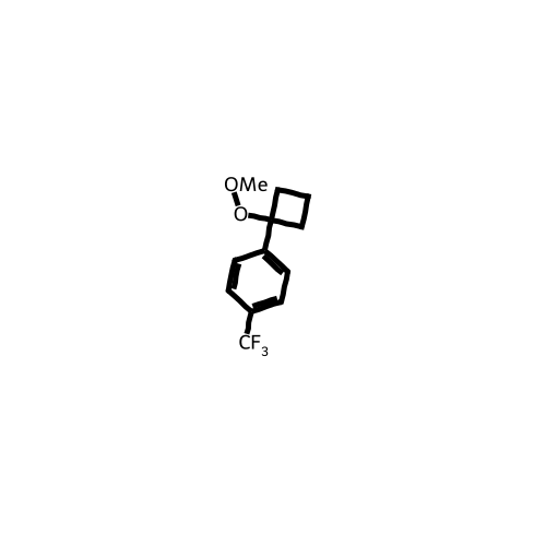 COOC1(c2ccc(C(F)(F)F)cc2)CCC1